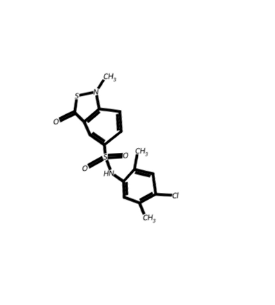 Cc1cc(NS(=O)(=O)c2ccc3c(c2)c(=O)sn3C)c(C)cc1Cl